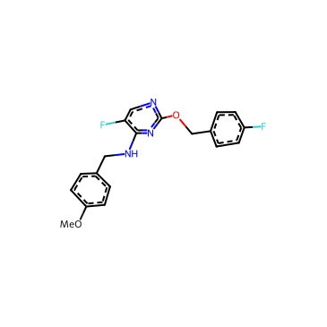 COc1ccc(CNc2nc(OCc3ccc(F)cc3)ncc2F)cc1